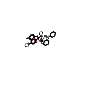 Cc1ccc(CC2(c3ccc(Cl)cc3)NC(=O)N(CN(C3CCCCC3)C3CCCCC3)C2=O)cc1